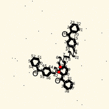 C[N+](C)(CC[N+](C)(CC[N+](C)(C)Cc1ccc(C(=O)c2ccccc2)cc1)Cc1ccc(C(=O)c2ccccc2)cc1)Cc1ccc(C(=O)c2ccccc2)cc1